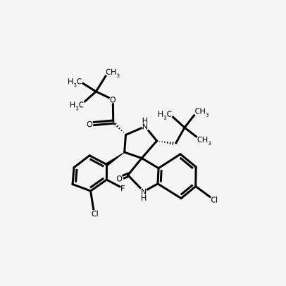 CC(C)(C)C[C@H]1N[C@@H](C(=O)OC(C)(C)C)[C@H](c2cccc(Cl)c2F)C12C(=O)Nc1cc(Cl)ccc12